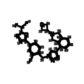 Fc1cc(-c2nnc(C(F)F)o2)ccc1Cn1cc(-c2cccc3c2CN(C2COC2)C3)nn1